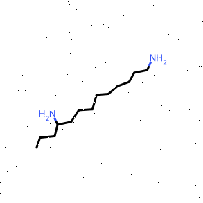 CCCC(N)CCCCCCCCCN